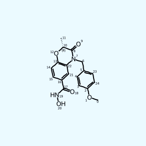 COc1ccc(CN2C(=O)[C@@H](C)Oc3ccc(C(=O)NO)cc32)cc1